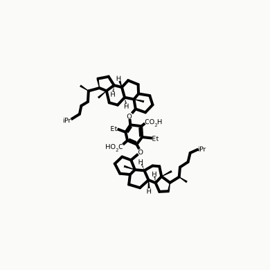 CCc1c(OC2CCCC3CC[C@@H]4[C@H](CC[C@]5(C)[C@@H]([C@H](C)CCCC(C)C)CC[C@@H]45)[C@]32C)c(C(=O)O)c(CC)c(OC2CCCC3CC[C@@H]4[C@H](CC[C@]5(C)[C@@H]([C@H](C)CCCC(C)C)CC[C@@H]45)[C@]32C)c1C(=O)O